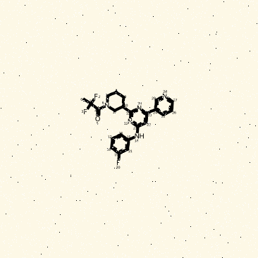 CC(F)(F)C(=O)N1CCCC(c2nc(Nc3cccc(F)c3)cc(-c3cccnc3)n2)C1